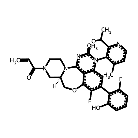 C=CC(=O)N1CCN2c3nc(=O)n(-c4c(C)ccnc4C(C)C)c4cc(-c5c(O)cccc5F)c(F)c(c34)OC[C@H]2C1